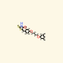 Cc1cc(C)cc(OCCCCOc2ccc(C=C3SC(=S)NC3=O)cc2)c1